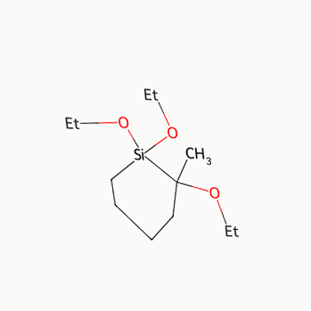 CCOC1(C)CCCC[Si]1(OCC)OCC